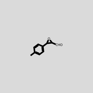 Cc1ccc(C2OC2C=O)cc1